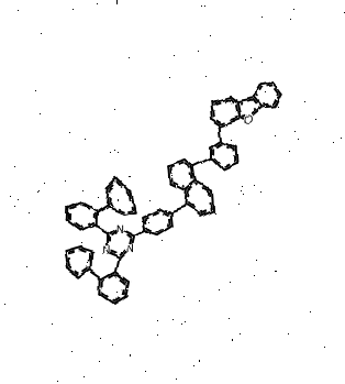 c1ccc(-c2ccccc2-c2nc(-c3ccc(-c4cccc5c(-c6cccc(-c7cccc8c7oc7ccccc78)c6)cccc45)cc3)nc(-c3ccccc3-c3ccccc3)n2)cc1